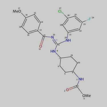 COC(=O)NC1CCC(N/C(=N\C(=O)c2ccc(OC)cc2)Nc2cc(F)cc(Cl)c2)CC1